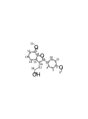 COc1ccc(-c2oc3c(OC)cccc3c2CCO)cc1